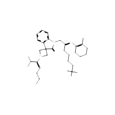 CCC/C=C(\C(C)C)N1CC2(C1)C(=O)N(C/C(CCCCC(F)(F)F)=N/C1=C(C)CCCC1)c1ccccc12